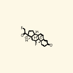 C[C@]12C=CC(=O)C=C1C=C[C@H]1[C@@H]3CC[C@](O)(C(=O)CF)[C@@]3(C)CC(F)[C@@]12Cl